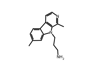 Cc1ccc2c3ccnc(C)c3n(CCCN)c2c1